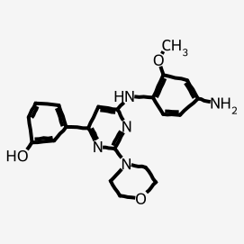 COc1cc(N)ccc1Nc1cc(-c2cccc(O)c2)nc(N2CCOCC2)n1